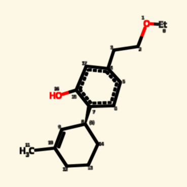 CCOCCc1ccc([C@@H]2C=C(C)CCC2)c(O)c1